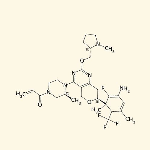 C=CC(=O)N1CCN(c2nc(OC[C@@H]3CCCN3C)nc3c2CO[C@H](C2(C)C(F)=C(N)C=C(C)C2C(F)(F)F)C3)[C@@H](C)C1